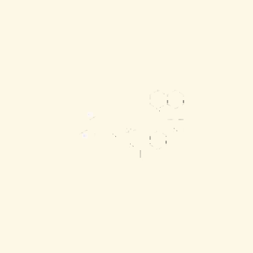 CC/C=C(Cl)\C=C(\F)CCN1CCN(C(=O)c2ccc(NS(=O)(=O)c3cccc4cccnc34)cc2OC)CC1